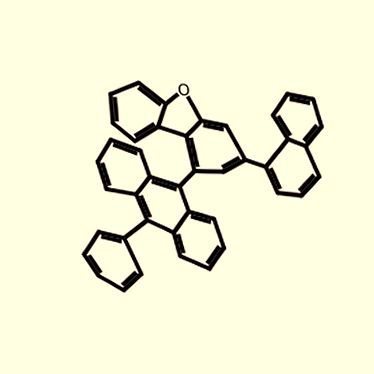 c1ccc(-c2c3ccccc3c(-c3cc(-c4cccc5ccccc45)cc4oc5ccccc5c34)c3ccccc23)cc1